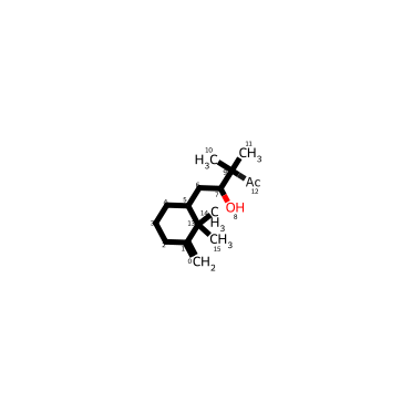 C=C1CCCC(CC(O)C(C)(C)C(C)=O)C1(C)C